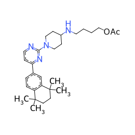 CC(=O)OCCCCNC1CCN(c2nccc(-c3ccc4c(c3)C(C)(C)CCC4(C)C)n2)CC1